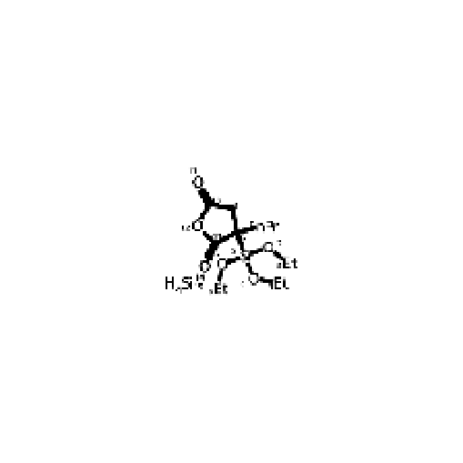 CCCC1([Si](OCC)(OCC)OCC)CC(=O)OC1=O.[SiH4]